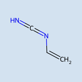 C=CN=C=N